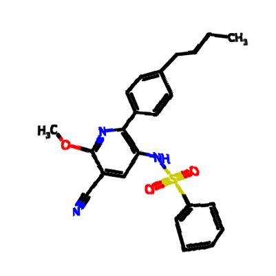 CCCCc1ccc(-c2nc(OC)c(C#N)cc2NS(=O)(=O)c2ccccc2)cc1